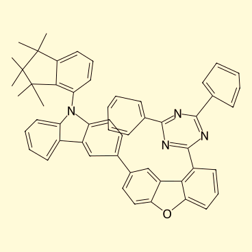 CC1(C)c2cccc(-n3c4ccccc4c4cc(-c5ccc6oc7cccc(-c8nc(-c9ccccc9)nc(-c9ccccc9)n8)c7c6c5)ccc43)c2C(C)(C)C1(C)C